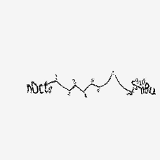 CCCCCCCCCCCCCCC[CH]SCCCC